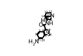 Nc1ccc2c(C(=O)N[C@H]3CN4CCC3CC4)nsc2c1